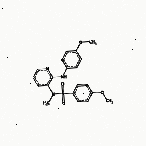 COc1ccc(Nc2ncccc2N(C)S(=O)(=O)c2ccc(OC)cc2)cc1